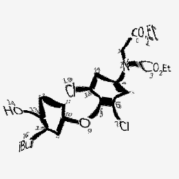 CCOC(=O)CN(C(=O)OCC)c1cc(Cl)c(Oc2ccc(O)c(C(C)CC)c2)c(Cl)c1